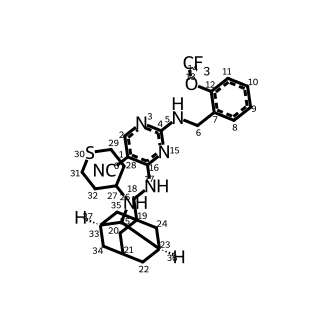 N#Cc1cnc(NCc2ccccc2OC(F)(F)F)nc1NCC12CC3C[C@H](C1)C(NC1CCSCC1)[C@@H](C3)C2